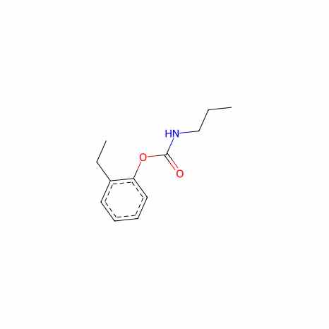 CCCNC(=O)Oc1ccccc1CC